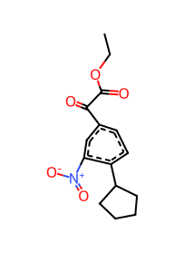 CCOC(=O)C(=O)c1ccc(C2CCCC2)c([N+](=O)[O-])c1